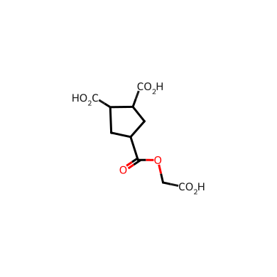 O=C(O)COC(=O)C1CC(C(=O)O)C(C(=O)O)C1